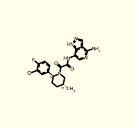 C[C@@H]1CC[C@@H](c2ccc(F)c(Cl)c2)N(C(=O)C(=O)Nc2cnc(N)c3cn[nH]c23)C1